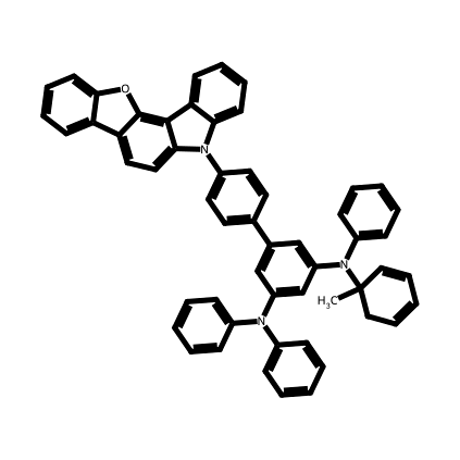 CC1(N(c2ccccc2)c2cc(-c3ccc(-n4c5ccccc5c5c6oc7ccccc7c6ccc54)cc3)cc(N(c3ccccc3)c3ccccc3)c2)C=CC=CC1